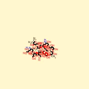 CC1C(O)[C@H](O[C@@H]2OC(CO[C@]3(C(=O)O)C[C@@H](O)[C@@H](N)C([C@H](O)[C@H](O)CO)O3)[C@H](O)C[C@@H]2O)[C@H](CO)O[C@H]1O[C@@H]1C(O)[C@H](O)C(CO)O[C@@H]1OCC[C@@H](O)C(O[C@H]1OC(CO)[C@@H](O)C(O)C1O[C@@H]1OC(CO)[C@@H](O[C@@H]2OC(CO)[C@H](O)C(O[C@]3(C(=O)O)C[C@@H](O)[C@@H](N)C([C@H](O)[C@H](O)CO)O3)[C@@H]2O)C(O)[C@@H]1C)[C@@H](O)[C@@H](O)O[C@@H]1C(CO)O[C@@H](O[C@@H]2C(CO)O[C@@H](C)[C@@H](C)C2O)[C@@H](C)C1O